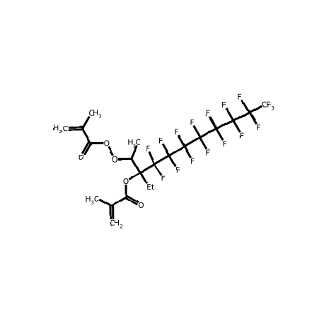 C=C(C)C(=O)OOC(C)C(CC)(OC(=O)C(=C)C)C(F)(F)C(F)(F)C(F)(F)C(F)(F)C(F)(F)C(F)(F)C(F)(F)C(F)(F)F